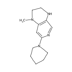 CN1CCNc2cnc(N3CCCCC3)cc21